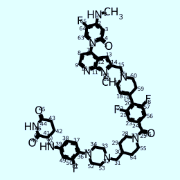 CNc1cc(=O)n(-c2ccnc3c2cc(CN2CC=C(c4c(F)cc(C(=O)N5CCC(CN6CCN(c7ccc(N[C@H]8CCC(=O)NC8=O)cc7F)CC6)CC5)cc4F)CC2)n3C)cc1F